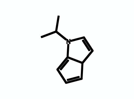 CC(C)N1C=CC2C=CC=C21